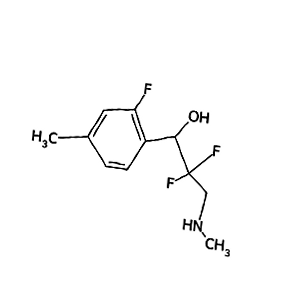 CNCC(F)(F)C(O)c1ccc(C)cc1F